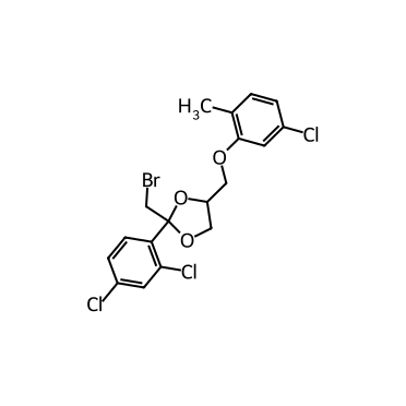 Cc1ccc(Cl)cc1OCC1COC(CBr)(c2ccc(Cl)cc2Cl)O1